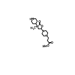 COC(=O)CCN1CCN(C2C[N+](C)(C3CCNCC3)C(=O)O2)CC1